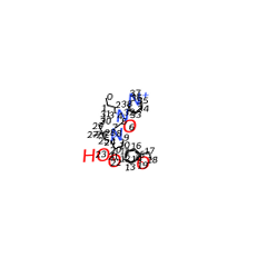 CCCCN(C(=O)CN1C[C@H](c2ccc3c(c2)CCO3)[C@@H](C(=O)O)[C@@H]1CC(C)(C)CCC)c1ccc[n+](C)c1